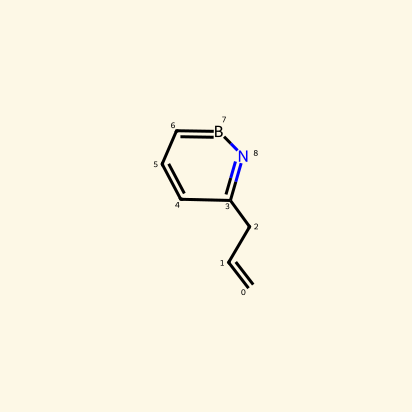 C=CCc1cccbn1